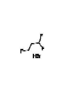 Br.FCCC(F)F